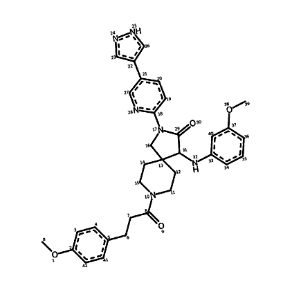 COc1ccc(CCC(=O)N2CCC3(CC2)CN(c2ccc(-c4cn[nH]c4)cn2)C(=O)C3Nc2cccc(OC)c2)cc1